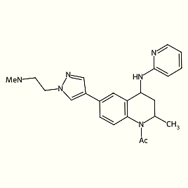 CNCCn1cc(-c2ccc3c(c2)C(Nc2ccccn2)CC(C)N3C(C)=O)cn1